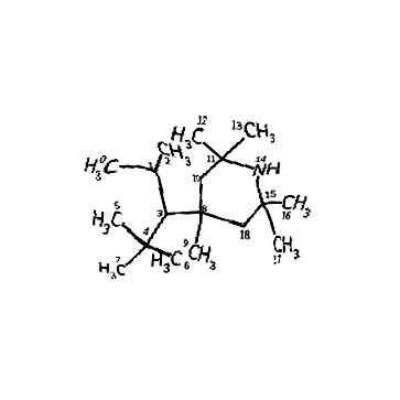 CC(C)C(C(C)(C)C)C1(C)CC(C)(C)NC(C)(C)C1